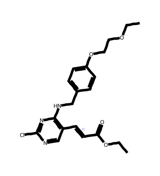 CCOCCOc1ccc(CNc2nc(Cl)ncc2/C=C/C(=O)OCC)cc1